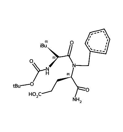 CC[C@H](C)[C@H](NC(=O)OC(C)(C)C)C(=O)N(Cc1ccccc1)[C@H](CCC(=O)O)C(N)=O